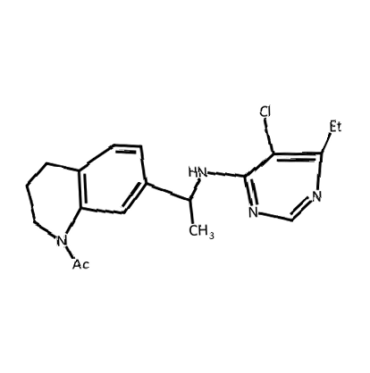 CCc1ncnc(NC(C)c2ccc3c(c2)N(C(C)=O)CCC3)c1Cl